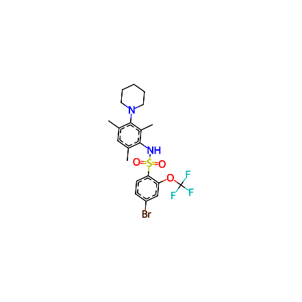 Cc1cc(C)c(N2CCCCC2)c(C)c1NS(=O)(=O)c1ccc(Br)cc1OC(F)(F)F